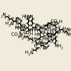 CC(C)C[C@H](NC(=O)[C@H](CCCCN)NC(=O)[C@H](CCCCN)NC(=O)[C@H](CC(=O)O)NC(=O)[C@H](CC(C)C)NC(=O)[C@H](CCCCN)NC(=O)[C@H](CCCCN)NC(=O)[C@H](CC(=O)O)NC(=O)[C@H](CC(C)C)NC(=O)[C@@H](N)CCCCN)C(=O)N[C@@H](CC(=O)O)C(=O)N[C@@H](CCCCN)C(=O)N[C@@H](CCCNC(=N)N)C(=O)N[C@@H](Cc1c[nH]cn1)C(=O)O